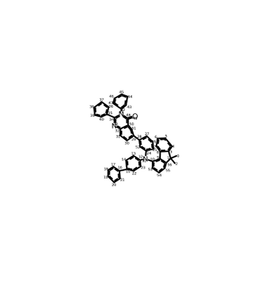 CC1(C)c2ccccc2-c2c(N(c3ccc(-c4ccccc4)cc3)c3cccc(-c4ccc5nc(-c6ccccc6)n(-c6ccccc6)c(=O)c5c4)c3)cccc21